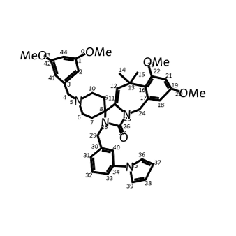 COc1cc(CN2CCC3(CC2)C2=CC(C)(C)c4c(cc(OC)cc4OC)CN2C(=O)N3Cc2cccc(-n3cccc3)c2)cc(OC)c1